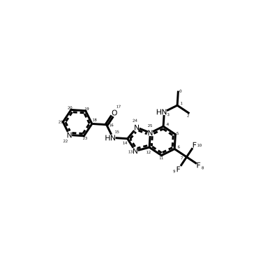 CC(C)Nc1cc(C(F)(F)F)cc2nc(NC(=O)c3cccnc3)nn12